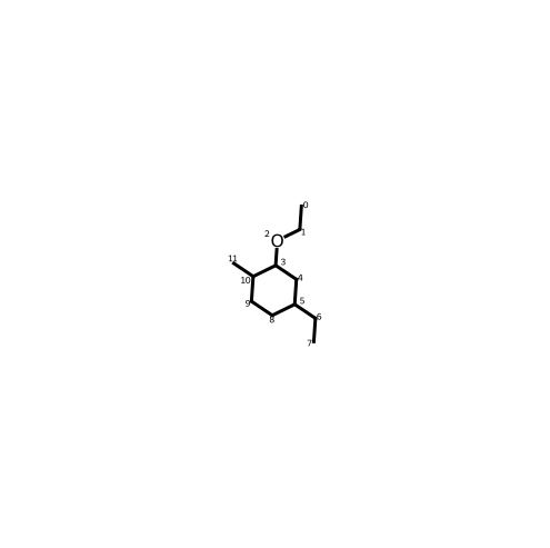 CCOC1CC(CC)CCC1C